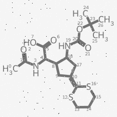 CC(=O)NC(C(=O)O)C1CC(=C2SCCCS2)CC1NC(=O)OC(C)(C)C